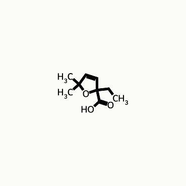 CCC1(C(=O)O)C=CC(C)(C)O1